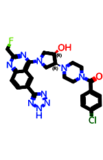 O=C(c1ccc(Cl)cc1)N1CCN([C@@H]2CN(c3nc(CF)nc4ccc(-c5nn[nH]n5)cc34)C[C@H]2O)CC1